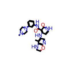 Cc1c(Nc2cc[nH]c(=O)c2C(=O)Nc2cccc(N3CCN(C)CC3)c2)cnc2c1NCCO2